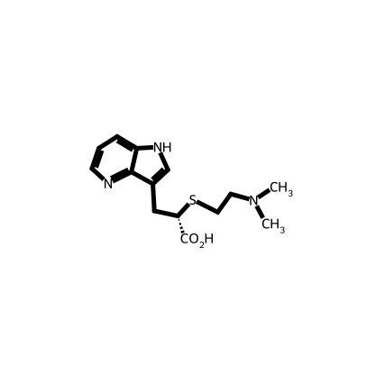 CN(C)CCS[C@@H](Cc1c[nH]c2cccnc12)C(=O)O